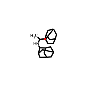 CC(NC1C2CC3CC(C2)CC1C3)C1C2CC3CC(C2)CC1C3